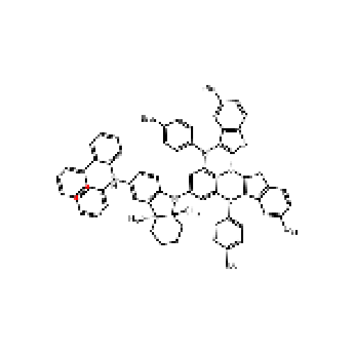 CC(C)(C)c1ccc(N2c3cc(N4c5ccc([SiH](c6ccccc6)c6ccccc6-c6ccccc6)cc5C5(C)CCCCC45C)cc4c3B(c3sc5ccc(C(C)(C)C)cc5c32)c2sc3ccc(C(C)(C)C)cc3c2N4c2ccc(C(C)(C)C)cc2)cc1